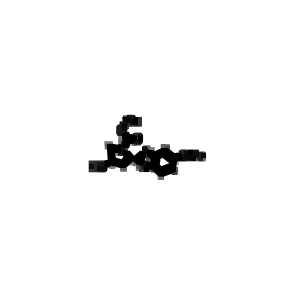 COc1ccc2nc([C@@H]3C[C@@H](O)CN3C(=O)OC(C)(C)C)sc2c1